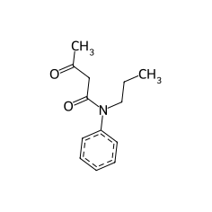 CCCN(C(=O)CC(C)=O)c1ccccc1